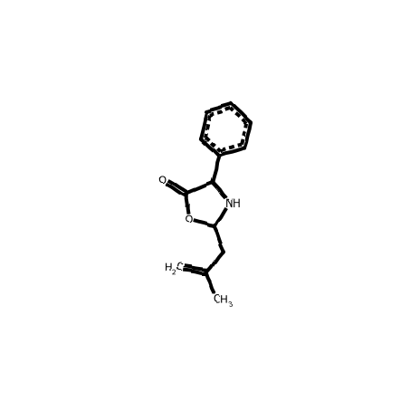 C=C(C)CC1NC(c2ccccc2)C(=O)O1